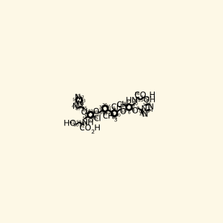 Cc1c(COc2cc(OCc3cnc4cnccn34)c(CNC(CCO)C(=O)O)cc2Cl)cccc1-c1cccc(COc2cc(OCc3cnc4cnccn34)c(CNC(CCO)C(=O)O)cc2Cl)c1C